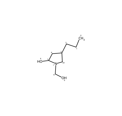 CCCC1CC(O)N(CO)C1